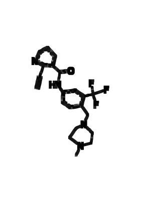 C#Cc1ncccc1C(=O)Nc1ccc(CN2CCN(C)CC2)c(C(F)(F)F)c1